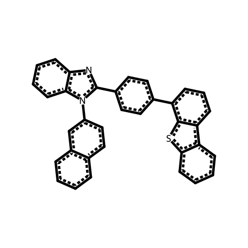 c1ccc2cc(-n3c(-c4ccc(-c5cccc6c5sc5ccccc56)cc4)nc4ccccc43)ccc2c1